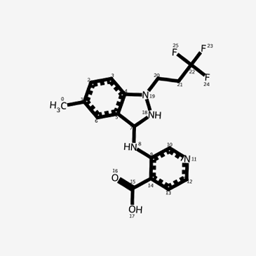 Cc1ccc2c(c1)C(Nc1cnccc1C(=O)O)NN2CCC(F)(F)F